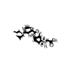 CCCN(CC1CC1)c1cc(C(=O)Nc2ccc(S(=O)(=O)NCC(=O)O)cc2C)ncn1